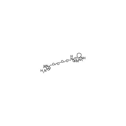 CC(C)N/C1=C(\N=N)C(OCC(=O)NCCOCCOCCOCCOCCC(=O)N[C@H](C(N)=O)C(C)C)CCCCC1